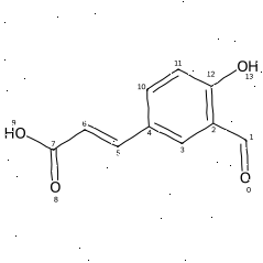 O=Cc1cc(/C=C/C(=O)O)ccc1O